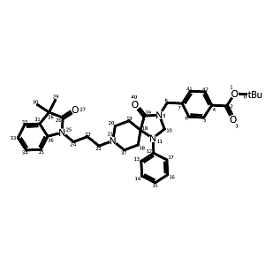 CC(C)(C)OC(=O)c1ccc(CN2CN(c3ccccc3)C3(CCN(CCCN4C(=O)C(C)(C)c5ccccc54)CC3)C2=O)cc1